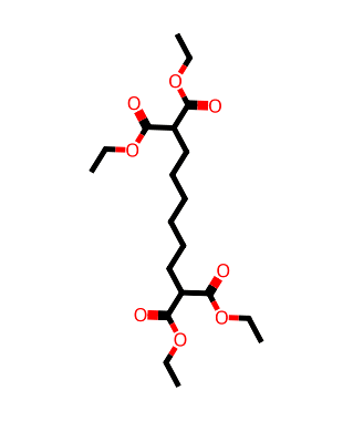 CCOC(=O)C(CCCCCCC(C(=O)OCC)C(=O)OCC)C(=O)OCC